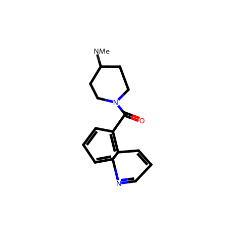 CNC1CCN(C(=O)c2cccc3ncccc23)CC1